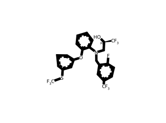 O[C@H](CN(Cc1cc(C(F)(F)F)ccc1F)c1ccccc1Oc1cccc(SC(F)(F)F)c1)C(F)(F)F